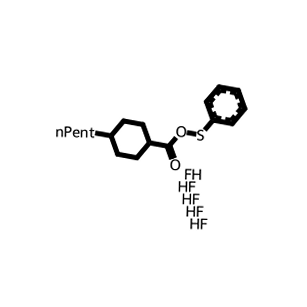 CCCCCC1CCC(C(=O)OSc2ccccc2)CC1.F.F.F.F.F